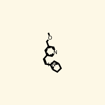 COCc1cncc(/C=C\C2CC3CCC2N3)c1